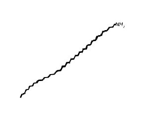 CCCCCCCCC=CCCCCCCCCCCCCCCCCCCCCCCCCCCCCCCN